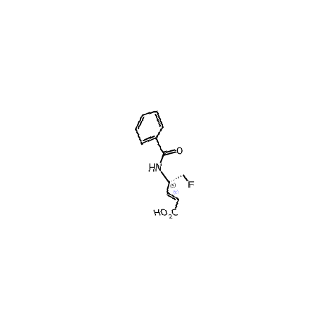 O=C(O)/C=C/[C@@H](CF)NC(=O)c1ccccc1